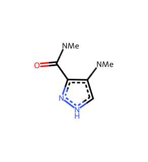 CNC(=O)c1n[nH]cc1NC